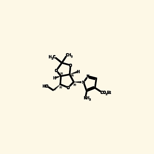 CCOC(=O)c1cnn([C@@H]2O[C@H](CO)[C@H]3OC(C)(C)O[C@H]32)c1N